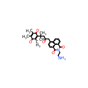 CC1=C(C)C(=O)C(C(C)(C)CC(=O)Cc2ccc3c4c(cccc24)C(=O)N(CCN)C3=O)=C(C)C1=O